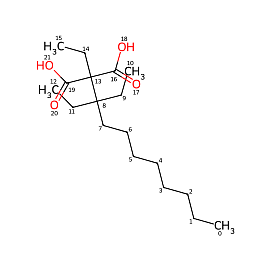 CCCCCCCCC(CC)(CC)C(CC)(C(=O)O)C(=O)O